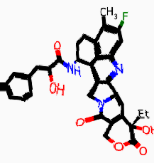 CC[C@@]1(O)C(=O)OCc2c1cc1n(c2=O)Cc2c-1nc1cc(F)c(C)c3c1c2[C@H](NC(=O)C(O)Cc1ccccc1)CC3